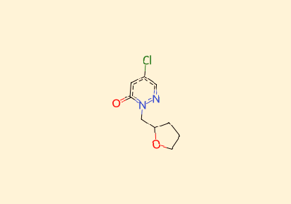 O=c1cc(Cl)cnn1CC1CCCO1